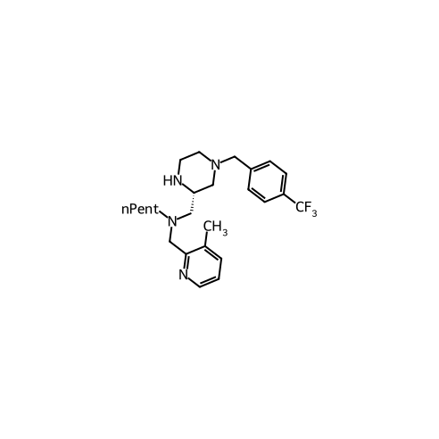 CCCCCN(Cc1ncccc1C)C[C@H]1CN(Cc2ccc(C(F)(F)F)cc2)CCN1